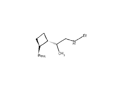 CCC[C@H](C)[C@H]1CC[C@@H]1C(C)CNCC